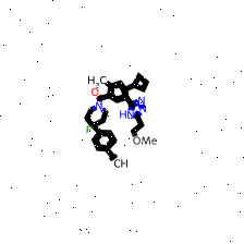 C#Cc1ccc(C2(F)CCN(C(=O)c3cc(-c4nnc(CCOC)[nH]4)c(C4CCC4)cc3C)CC2)cc1